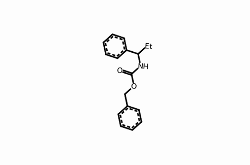 CCC(NC(=O)OCc1ccccc1)c1ccccc1